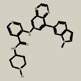 CC(=O)N1CCC(NC(=O)c2ccncc2Nc2cc(-c3ccc4ccn(C)c4c3)c3nccnc3c2)CC1